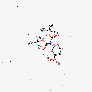 CC(C)(C)OC(=O)N(C(=O)OC(C)(C)C)[C@@H]1C=CC[C@@H](C(=O)O)C1